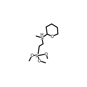 CO[Si](CC[SiH](C)C1CCCCO1)(OC)OC